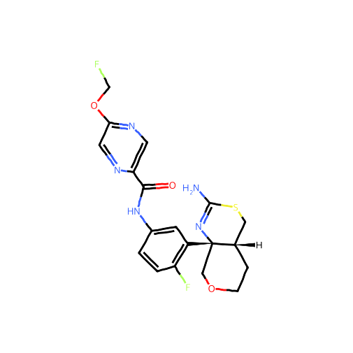 NC1=N[C@@]2(c3cc(NC(=O)c4cnc(OCF)cn4)ccc3F)COCC[C@H]2CS1